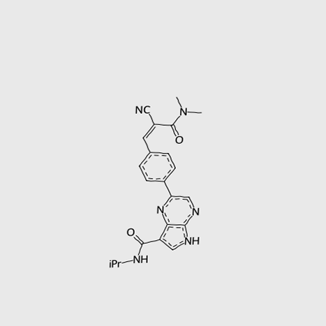 CC(C)NC(=O)c1c[nH]c2ncc(-c3ccc(C=C(C#N)C(=O)N(C)C)cc3)nc12